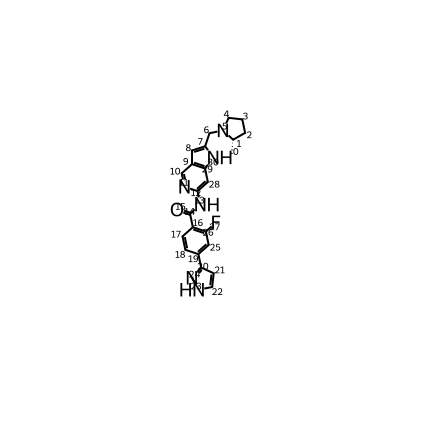 C[C@H]1CCCN1Cc1cc2cnc(NC(=O)c3ccc(-c4cc[nH]n4)cc3F)cc2[nH]1